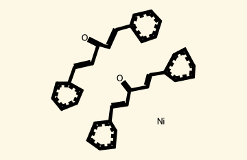 O=C(C=Cc1ccccc1)C=Cc1ccccc1.O=C(C=Cc1ccccc1)C=Cc1ccccc1.[Ni]